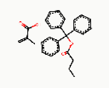 C=C(C)C(=O)O.CCCC(=O)OC(c1ccccc1)(c1ccccc1)c1ccccc1